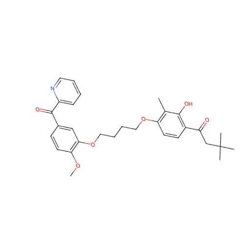 COc1ccc(C(=O)c2ccccn2)cc1OCCCCOc1ccc(C(=O)CC(C)(C)C)c(O)c1C